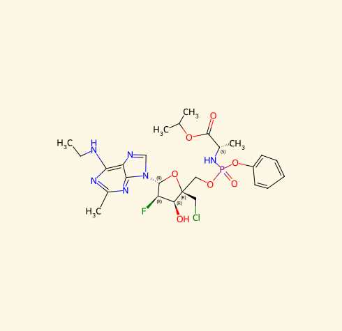 CCNc1nc(C)nc2c1ncn2[C@@H]1O[C@](CCl)(COP(=O)(N[C@@H](C)C(=O)OC(C)C)Oc2ccccc2)[C@@H](O)[C@H]1F